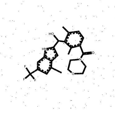 Cc1ccc(C(=O)N2CCOCC2)c(C)c1C(O)c1cc2c(C)cc(C(F)(F)F)cc2[nH]1